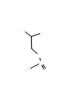 CC(C)C(Cl)COS(=O)O